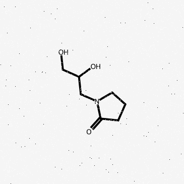 O=C1CCCN1CC(O)CO